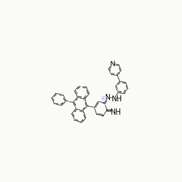 N=C1C=CC(c2c3ccccc3c(-c3ccccc3)c3ccccc23)=C/C1=N/Nc1cccc(-c2ccncc2)c1